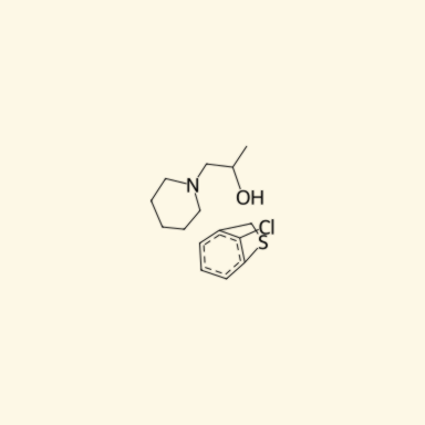 CC(O)CN1CCCCC1.Clc1c2cccc1SC2